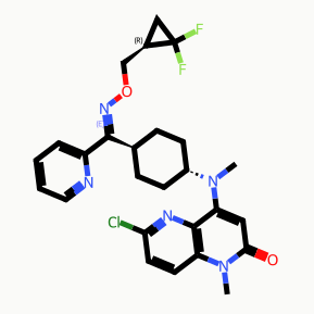 Cn1c(=O)cc(N(C)[C@H]2CC[C@H](/C(=N\OC[C@H]3CC3(F)F)c3ccccn3)CC2)c2nc(Cl)ccc21